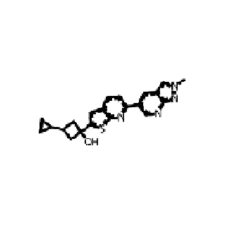 Cn1cc2cc(-c3ccc4cc(C5(O)CC(C6CC6)C5)sc4n3)cnc2n1